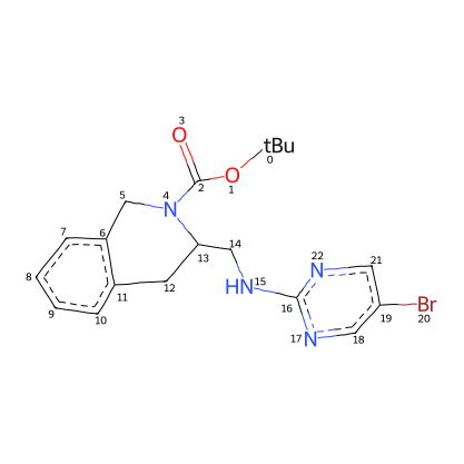 CC(C)(C)OC(=O)N1Cc2ccccc2CC1CNc1ncc(Br)cn1